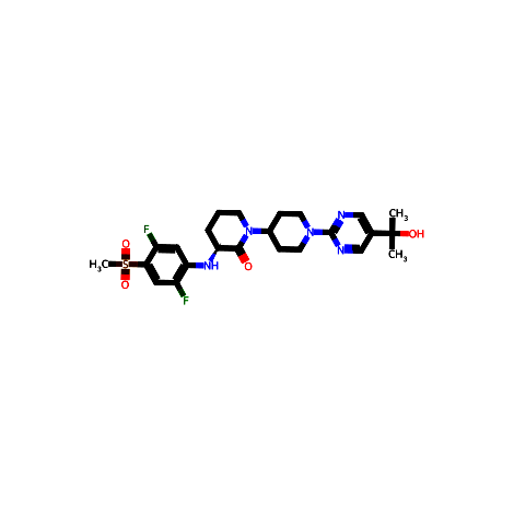 CC(C)(O)c1cnc(N2CCC(N3CCC[C@H](Nc4cc(F)c(S(C)(=O)=O)cc4F)C3=O)CC2)nc1